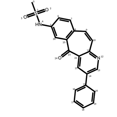 CS(=O)(=O)Nc1ccc2ccc3ncc(-c4ccccc4)cc3c(=O)c2c1